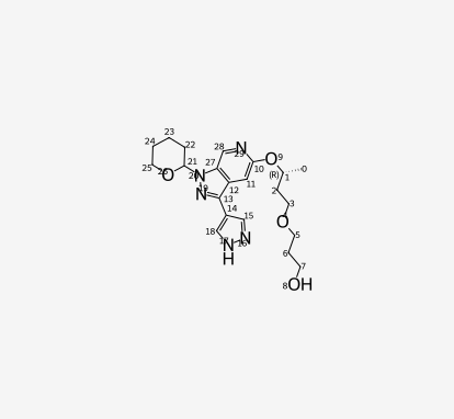 C[C@H](CCOCCCO)Oc1cc2c(-c3cn[nH]c3)nn(C3CCCCO3)c2cn1